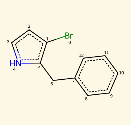 Brc1cc[nH]c1Cc1ccccc1